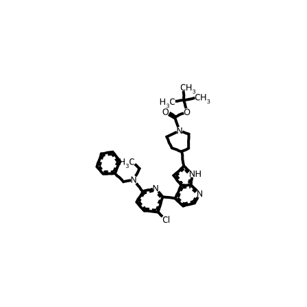 CCN(Cc1ccccc1)c1ccc(Cl)c(-c2ccnc3[nH]c(C4CCN(C(=O)OC(C)(C)C)CC4)cc23)n1